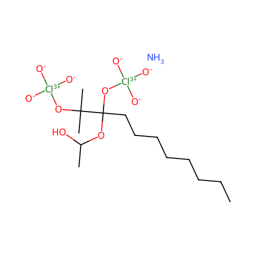 CCCCCCCCC(OC(C)O)(O[Cl+3]([O-])([O-])[O-])C(C)(C)O[Cl+3]([O-])([O-])[O-].N